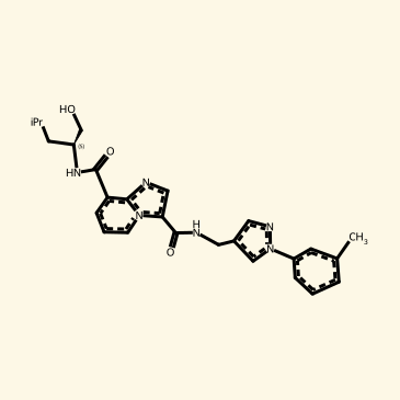 Cc1cccc(-n2cc(CNC(=O)c3cnc4c(C(=O)N[C@H](CO)CC(C)C)cccn34)cn2)c1